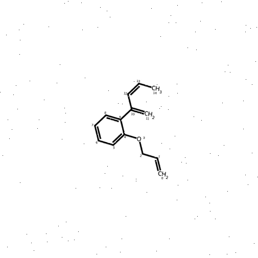 C=CCOc1ccccc1C(=C)/C=C\C